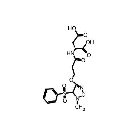 CN1ON=C(OCCC(=O)N[C@@H](CC(=O)O)C(=O)O)C1S(=O)(=O)c1ccccc1